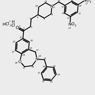 Cl.Cl.O=C(CCC1CCN(Cc2cc([N+](=O)[O-])cc([N+](=O)[O-])c2)CC1)c1ccc2c(c1)CN(Cc1ccccc1)CCO2